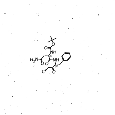 CC(C)(C)OC(=O)N[C@@H](CC(N)=O)C(=O)N[C@@H](Cc1ccccc1)C(=O)CCl